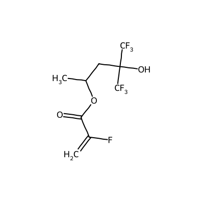 C=C(F)C(=O)OC(C)CC(O)(C(F)(F)F)C(F)(F)F